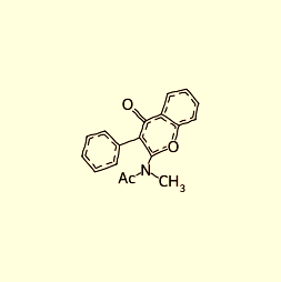 CC(=O)N(C)c1oc2ccccc2c(=O)c1-c1ccccc1